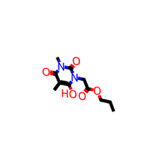 CCCOC(=O)Cn1c(O)c(C)c(=O)n(C)c1=O